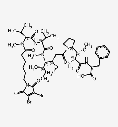 CC[C@@H](C)[C@@H]([C@@H](CC(=O)N1CCC[C@H]1[C@H](OC)[C@@H](C)C(=O)N[C@@H](Cc1ccccc1)C(=O)O)OC)N(C)C(=O)[C@@H](NC(=O)[C@H](C(C)C)N(C)C(=O)CCCCCN1C(=O)C(Br)=C(Br)C1=O)C(C)C